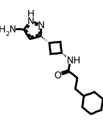 Nc1cc([C@H]2C[C@@H](NC(=O)CCC3CCCCC3)C2)n[nH]1